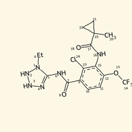 CCN1NNN=C1NC(=O)c1ccc(OC(F)(F)F)c(NC(=O)C2(C)CC2)c1Cl